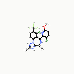 COc1ccc(Cl)c(C2=N[C@@H](C)c3nc(C)nn3-c3ccc(C(F)(F)F)c(Cl)c32)n1